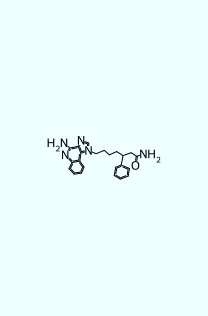 NC(=O)CC(CCCCn1cnc2c(N)nc3ccccc3c21)c1ccccc1